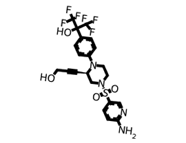 Nc1ccc(S(=O)(=O)N2CCN(c3ccc(C(O)(C(F)(F)F)C(F)(F)F)cc3)[C@H](C#CCO)C2)cn1